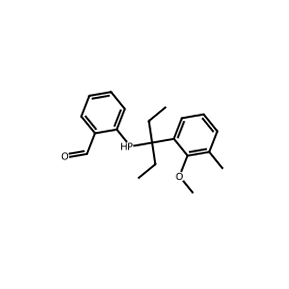 CCC(CC)(Pc1ccccc1C=O)c1cccc(C)c1OC